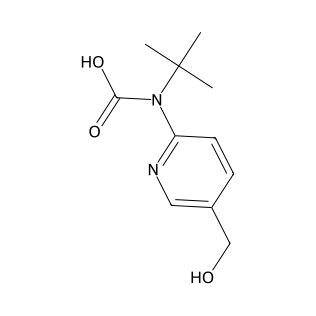 CC(C)(C)N(C(=O)O)c1ccc(CO)cn1